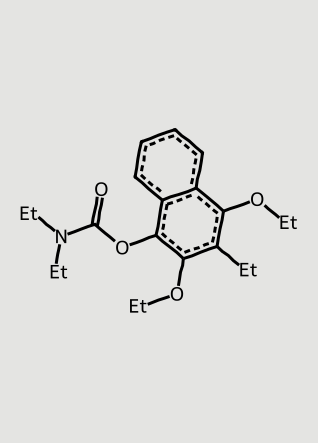 CCOc1c(CC)c(OCC)c2ccccc2c1OC(=O)N(CC)CC